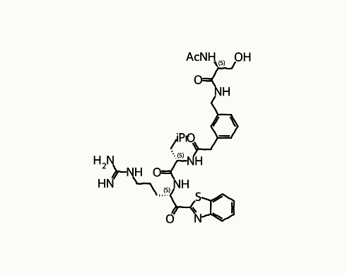 CC(=O)N[C@@H](CO)C(=O)NCc1cccc(CC(=O)N[C@@H](CC(C)C)C(=O)N[C@@H](CCCNC(=N)N)C(=O)c2nc3ccccc3s2)c1